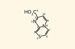 O=C(O)C1=NC2=CSC=CN2C=C1